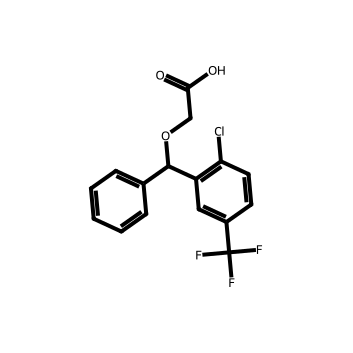 O=C(O)COC(c1ccccc1)c1cc(C(F)(F)F)ccc1Cl